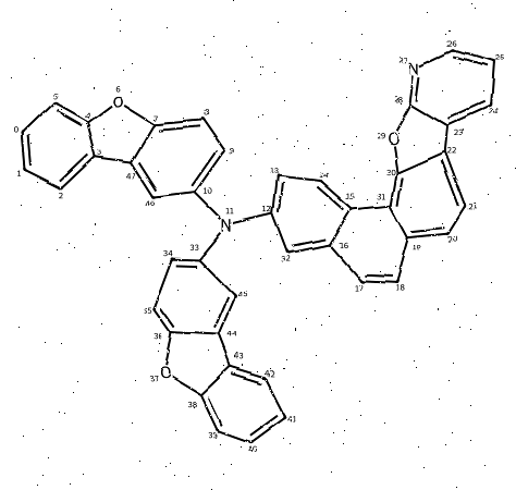 c1ccc2c(c1)oc1ccc(N(c3ccc4c(ccc5ccc6c7cccnc7oc6c54)c3)c3ccc4oc5ccccc5c4c3)cc12